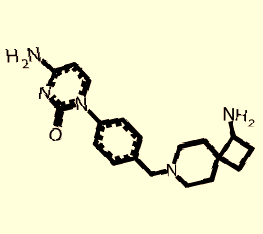 Nc1ccn(-c2ccc(CN3CCC4(CCC4N)CC3)cc2)c(=O)n1